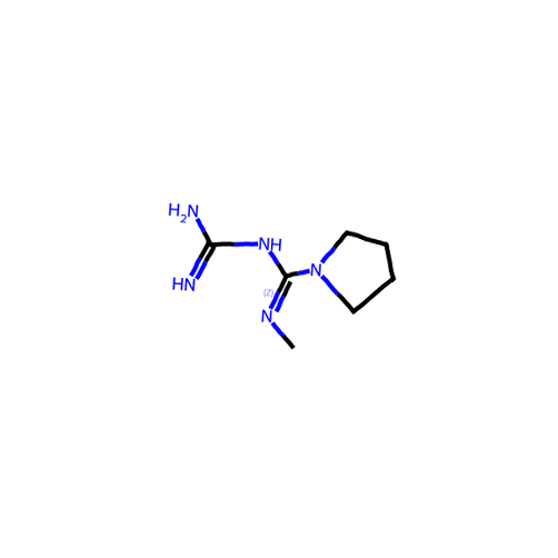 C/N=C(/NC(=N)N)N1CCCC1